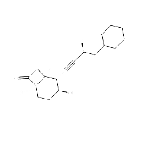 CC(C)[C@@]12CC[C@H](O)[C@@H](C#C[C@@H](O)CC3CCCCC3)[C@@H]1CC2=O